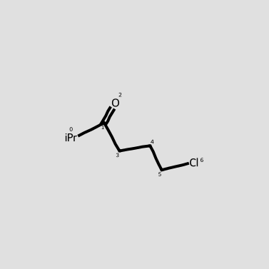 CC(C)C(=O)CCCCl